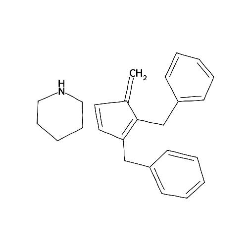 C1CCNCC1.C=C1C=CC(Cc2ccccc2)=C1Cc1ccccc1